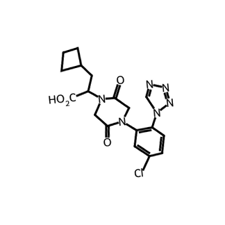 O=C(O)C(CC1CCC1)N1CC(=O)N(c2cc(Cl)ccc2-n2cnnn2)CC1=O